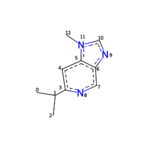 CC(C)c1cc2c(cn1)ncn2C